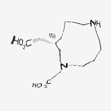 O=C(O)[C@@H]1CNCCN1C(=O)O